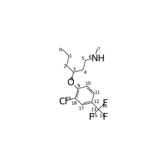 CCCC(CCNC)Oc1ccc(C(F)(F)F)cc1Cl